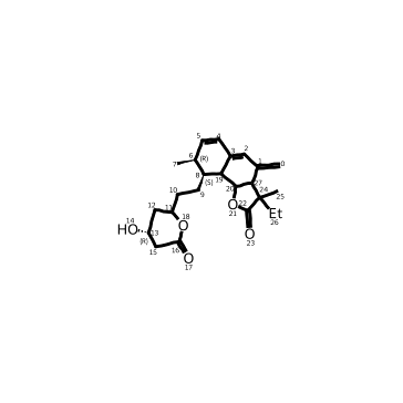 C=C1C=C2C=C[C@H](C)[C@H](CCC3C[C@@H](O)CC(=O)O3)C2C2OC(=O)C(C)(CC)C12